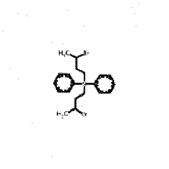 CC(Br)CC[Si](CCC(C)Br)(c1ccccc1)c1ccccc1